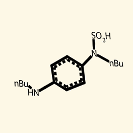 CCCCNc1ccc(N(CCCC)S(=O)(=O)O)cc1